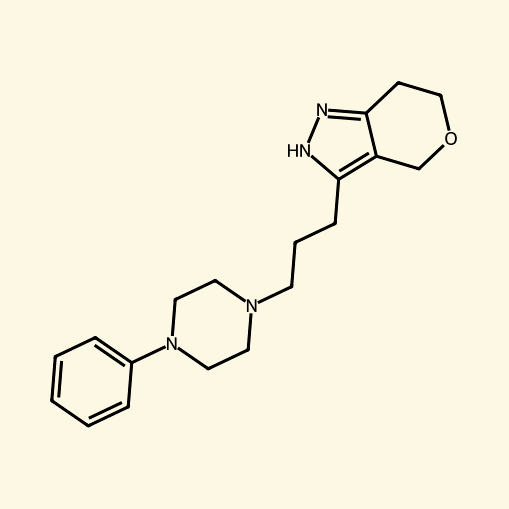 c1ccc(N2CCN(CCCc3[nH]nc4c3COCC4)CC2)cc1